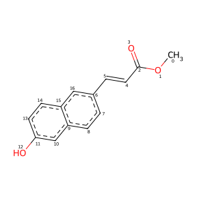 COC(=O)C=Cc1ccc2cc(O)ccc2c1